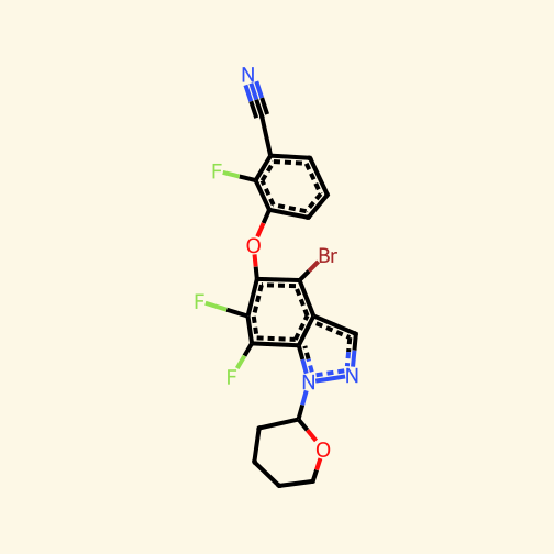 N#Cc1cccc(Oc2c(F)c(F)c3c(cnn3C3CCCCO3)c2Br)c1F